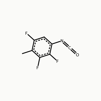 Cc1c(F)cc(N=C=O)c(F)c1F